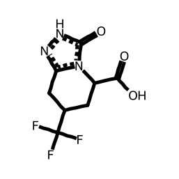 O=C(O)C1CC(C(F)(F)F)Cc2n[nH]c(=O)n21